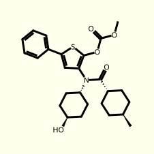 COC(=O)Oc1sc(-c2ccccc2)cc1N(C(=O)[C@H]1CC[C@H](C)CC1)[C@H]1CC[C@H](O)CC1